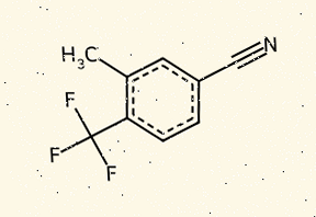 Cc1cc(C#N)ccc1C(F)(F)F